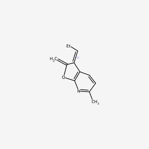 C=c1oc2nc(C)ccc2/c1=C/CC